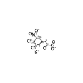 O=C([O-])C(=O)Cc1cc(Cl)c(Cl)c([N+](=O)[O-])c1.[K+]